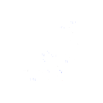 CC1Cc2nc(C(=O)N3CCN(S(=O)(=O)c4ccc5ccc(C(=N)N)cc5c4)CC3Cc3nnn[nH]3)sc2CN1